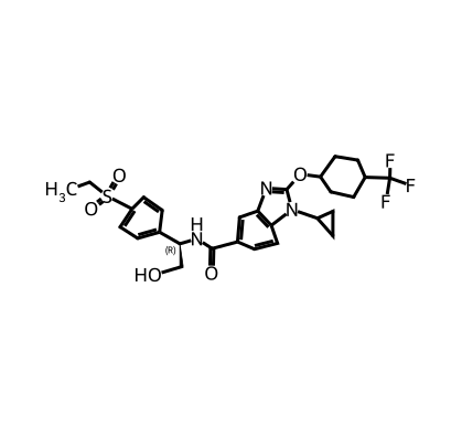 CCS(=O)(=O)c1ccc([C@H](CO)NC(=O)c2ccc3c(c2)nc(OC2CCC(C(F)(F)F)CC2)n3C2CC2)cc1